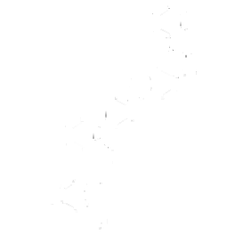 CCCN(Cc1cc(C(C)(C)c2cccc(CN(CSCc3cc(C)c(C)cc3CS)c3ccccc3)c2)ccc1C)c1ccccc1